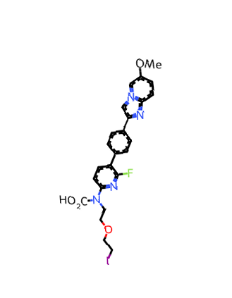 COc1ccc2nc(-c3ccc(-c4ccc(N(CCOCCI)C(=O)O)nc4F)cc3)cn2c1